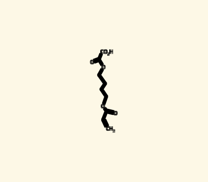 C=CC(=O)OCCCCOC(=O)C(=O)O